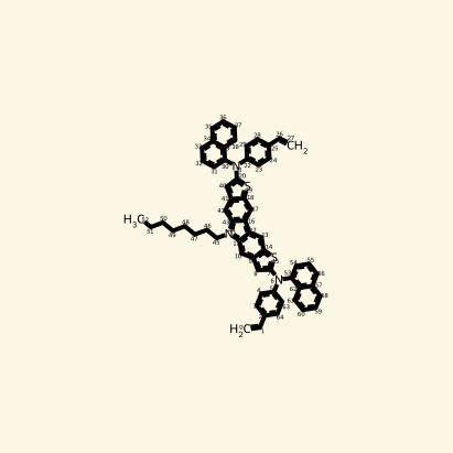 C=Cc1ccc(N(c2cc3cc4c(cc3s2)c2cc3sc(N(c5ccc(C=C)cc5)c5cccc6ccccc56)cc3cc2n4CCCCCCCC)c2cccc3ccccc23)cc1